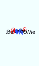 COC(=O)c1cnc(NC2(C(C)C)CCN(C(=O)OC(C)(C)C)CC2)nc1